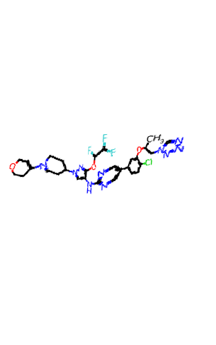 CC(Cn1cnnn1)Oc1cc(-c2cnc(Nc3cn(C4CCN(C5CCOCC5)CC4)nc3OC(F)C(F)F)nc2)ccc1Cl